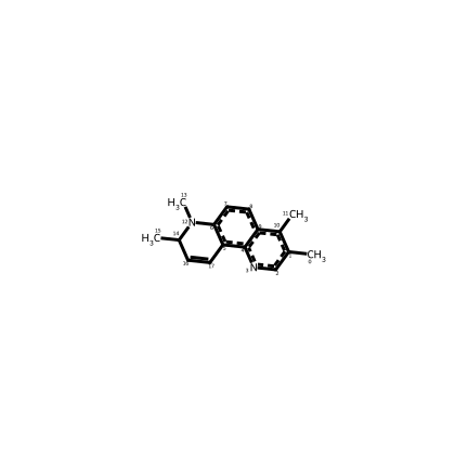 Cc1cnc2c3c(ccc2c1C)N(C)C(C)C=C3